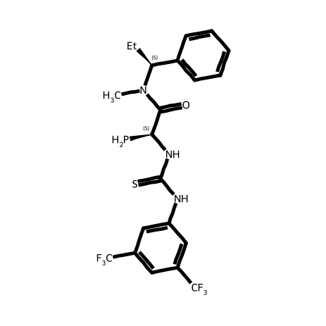 CC[C@@H](c1ccccc1)N(C)C(=O)[C@H](P)NC(=S)Nc1cc(C(F)(F)F)cc(C(F)(F)F)c1